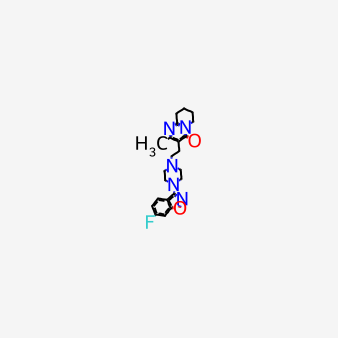 Cc1nc2n(c(=O)c1CCN1CCN(c3noc4cc(F)ccc34)CC1)CCCC2